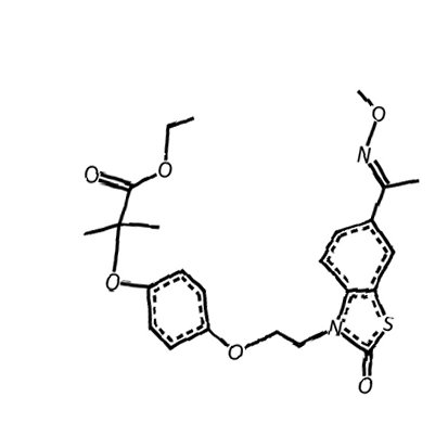 CCOC(=O)C(C)(C)Oc1ccc(OCCn2c(=O)sc3cc(C(C)=NOC)ccc32)cc1